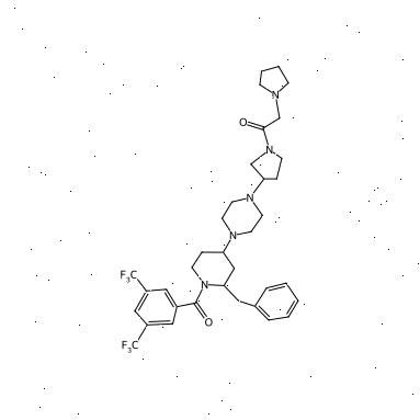 O=C(CN1CCCC1)N1CCC(N2CCN(C3CCN(C(=O)c4cc(C(F)(F)F)cc(C(F)(F)F)c4)C(Cc4ccccc4)C3)CC2)C1